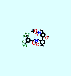 COc1cc2c(cc1C1=C(CN3C(=O)OC(c4cc(C(F)(F)F)cc(C(F)(F)F)c4)[C@@H]3C)CC(C)(C)CC1)N(C(=O)OC(C)(C)C)CC2